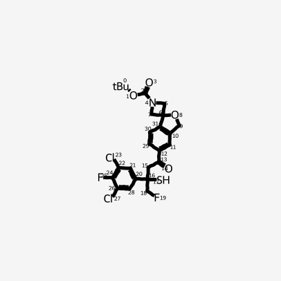 CC(C)(C)OC(=O)N1CC2(C1)OCc1cc(C(=O)CC(S)(CF)c3cc(Cl)c(F)c(Cl)c3)ccc12